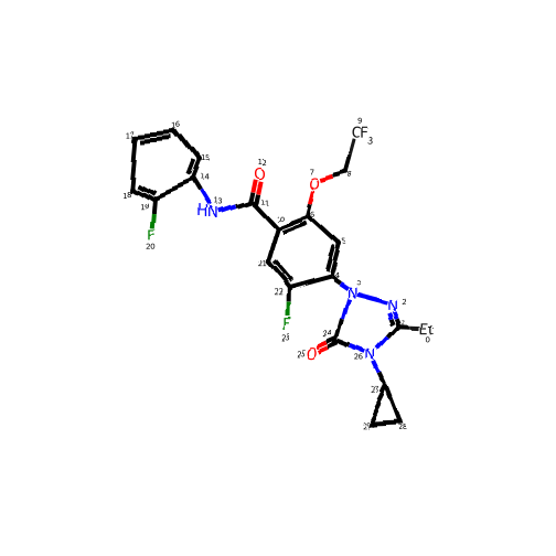 CCc1nn(-c2cc(OCC(F)(F)F)c(C(=O)Nc3ccccc3F)cc2F)c(=O)n1C1CC1